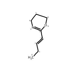 CCC=CC1=NCCCO1